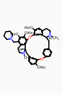 COc1ccc2cc1Oc1ccc(cc1)C[C@H]1c3cc(c(OC)cc3CCN1C)Oc1c(OC)c(OC)c(CN3CCCCC3)c3c1[C@H](C2)N(C)CC3